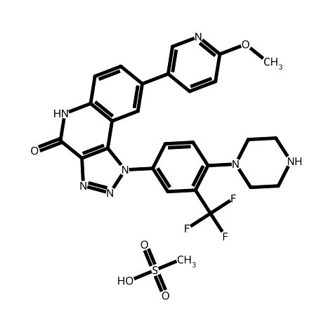 COc1ccc(-c2ccc3[nH]c(=O)c4nnn(-c5ccc(N6CCNCC6)c(C(F)(F)F)c5)c4c3c2)cn1.CS(=O)(=O)O